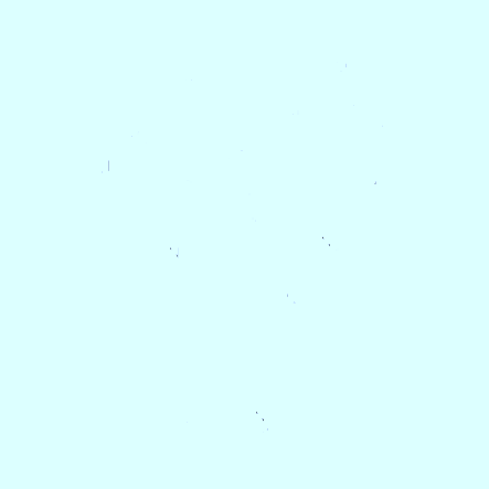 COc1ccc2nc(OCc3cccnc3)c(C#N)c(-c3cccc(F)c3)c2c1